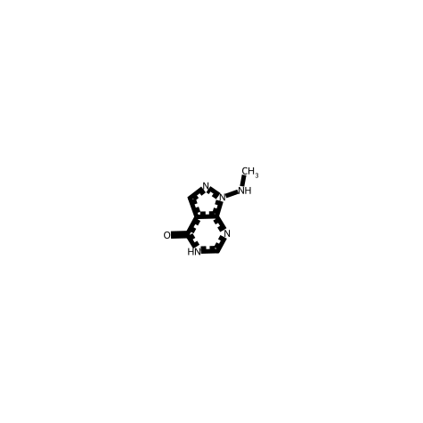 CNn1ncc2c(=O)[nH]cnc21